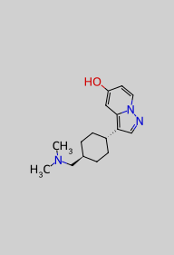 CN(C)C[C@H]1CC[C@H](c2cnn3ccc(O)cc23)CC1